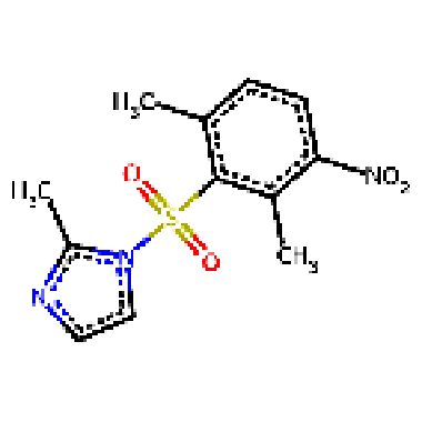 Cc1ccc([N+](=O)[O-])c(C)c1S(=O)(=O)n1ccnc1C